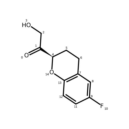 O=C(CO)[C@H]1CCc2cc(F)ccc2O1